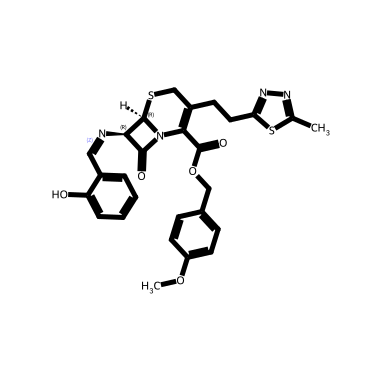 COc1ccc(COC(=O)C2=C(CCc3nnc(C)s3)CS[C@@H]3[C@H](/N=C\c4ccccc4O)C(=O)N23)cc1